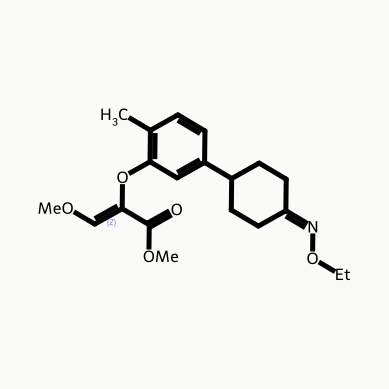 CCON=C1CCC(c2ccc(C)c(O/C(=C\OC)C(=O)OC)c2)CC1